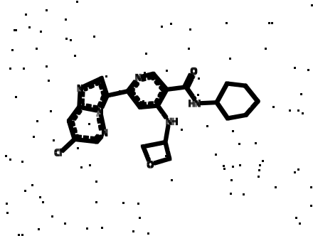 O=C(NC1CCCCC1)c1cnc(-c2cnc3cc(Cl)cnn23)cc1NC1COC1